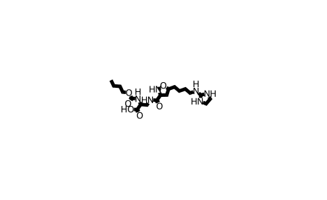 CCCCOC(=O)NC(CNC(=O)C1CC(CCCCNC2NCCN2)ON1)C(=O)O